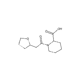 O=C(O)C1CCCCN1C(=O)CC1CCCO1